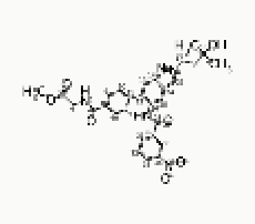 COC(=O)CNC(=O)c1ccc(-c2cc3nn(CCC(C)(C)O)cc3cc2NC(=O)c2cccc([N+](=O)[O-])c2)cc1